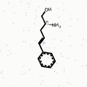 N[C@@H](CO)C/C=C/c1ccccc1